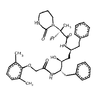 Cc1cccc(C)c1OCC(=O)N[C@@H](Cc1ccccc1)[C@@H](O)C[C@H](Cc1ccccc1)NC(=O)[C@@](C)(C(C)C)N1CCCNC1=O